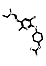 CCN(C)/C=N/c1cc(Br)c(OC2CCC(OC(F)F)CC2)nc1C